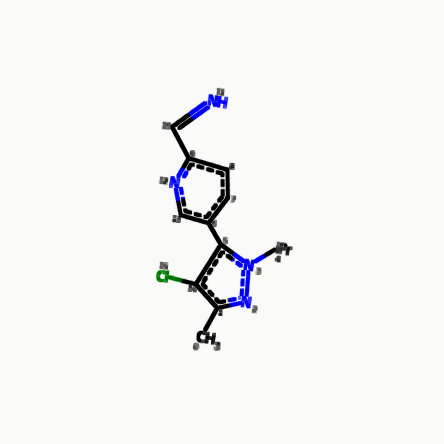 Cc1nn(C(C)C)c(-c2ccc(C=N)nc2)c1Cl